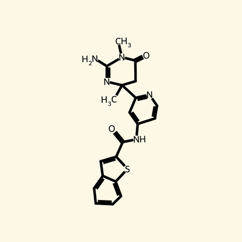 CN1C(=O)CC(C)(c2cc(NC(=O)c3cc4ccccc4s3)ccn2)N=C1N